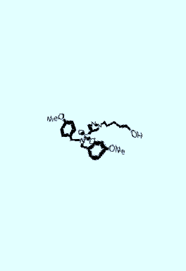 COc1ccc(CN(Cc2ccc(OC)cc2)S(=O)(=O)c2cnn(CCCCCO)c2)cc1